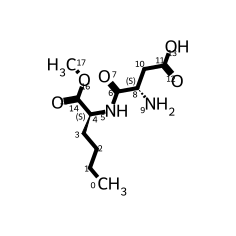 CCCC[C@H](NC(=O)[C@@H](N)CC(=O)O)C(=O)OC